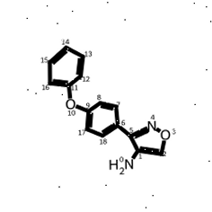 Nc1conc1-c1ccc(Oc2[c]cccc2)cc1